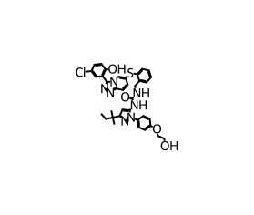 CCC(C)(C)c1cc(NC(=O)NCc2ccccc2Sc2ccc3nnc(-c4cc(Cl)ccc4O)n3c2)n(-c2ccc(OCCO)cc2)n1